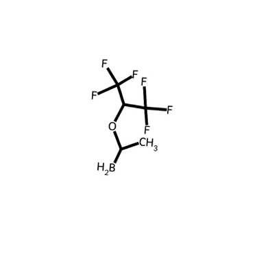 BC(C)OC(C(F)(F)F)C(F)(F)F